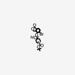 CC(C)(C)OC(=O)N1CCC(O)(COc2c(Br)ccc3c2COC3=O)CC1